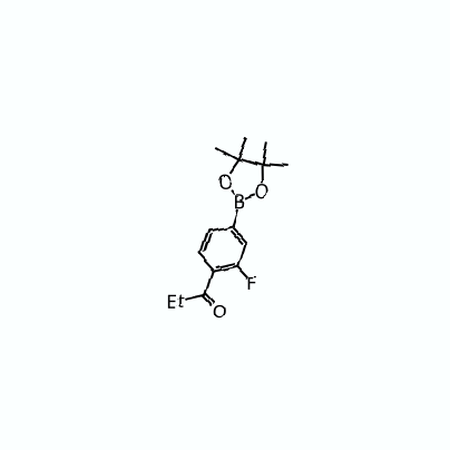 CCC(=O)c1ccc(B2OC(C)(C)C(C)(C)O2)cc1F